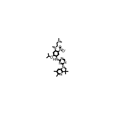 Cc1cc2c(nc1C)C(C)(C)CN2c1ncnc(Nc2cc([N+](=O)[O-])c(N(C)CCN(C)C)cc2OC(C)C)n1